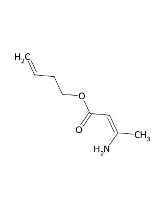 C=CCCOC(=O)/C=C(/C)N